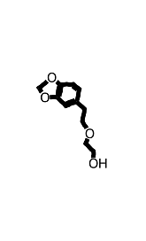 OCCOCCc1ccc2c(c1)OCO2